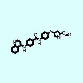 O=COC1CC(Sc2ccc(NC(=O)c3ccc(Nc4ccnc5ccccc45)cc3)cc2)CN1